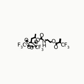 C=C(C(=O)OCCNC(=O)OC(C)CC(S(=O)(=O)C(F)(F)F)S(=O)(=O)C(F)(F)F)C(F)(F)F